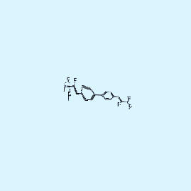 FC(=Cc1ccc(-c2ccc(C=C(F)C(F)(F)F)cc2)cc1)C(F)F